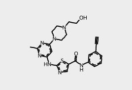 C#Cc1cccc(NC(=O)c2cnc(Nc3cc(N4CCN(CCO)CC4)nc(C)n3)s2)c1